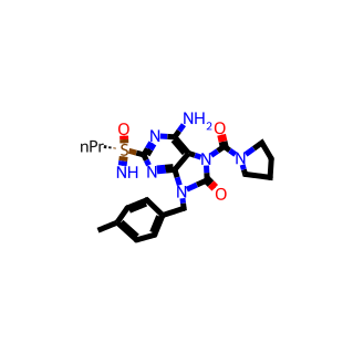 CCC[S@](=N)(=O)c1nc(N)c2c(n1)n(Cc1ccc(C)cc1)c(=O)n2C(=O)N1CCCC1